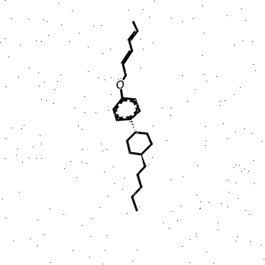 CC=CC=CCOc1ccc([C@H]2CC[C@H](CCCCC)CC2)cc1